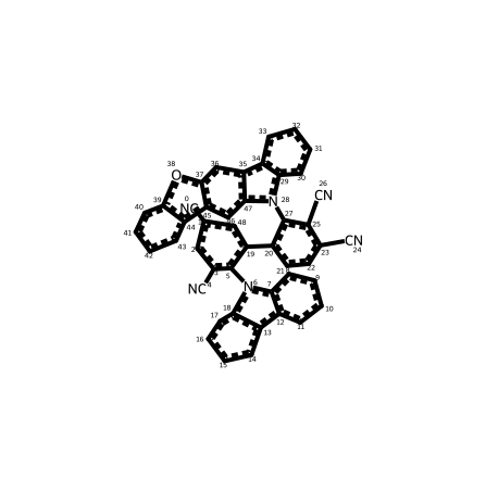 N#Cc1cc(C#N)c(-n2c3ccccc3c3ccccc32)c(-c2ccc(C#N)c(C#N)c2-n2c3ccccc3c3cc4oc5ccccc5c4cc32)c1